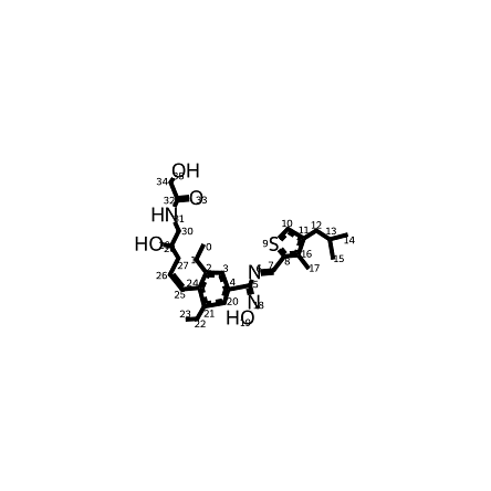 CCc1cc(C(/N=C/c2scc(CC(C)C)c2C)=N\O)cc(CC)c1/C=C\CC(O)CNC(=O)CO